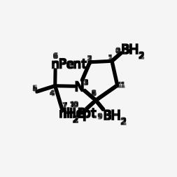 BC1CN(C(C)(CCCCC)CCCCCCC)C(B)(B)C1